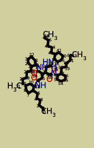 CCCCCCC1CCCCC1NC(=O)CC(C(=O)NC1CCCCC1CCCCCC)C(CC(=O)NC1CCCCC1CCCCCC)C(=O)NC1CCCCC1CCCCCC